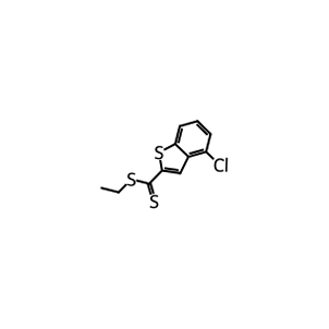 CCSC(=S)c1cc2c(Cl)cccc2s1